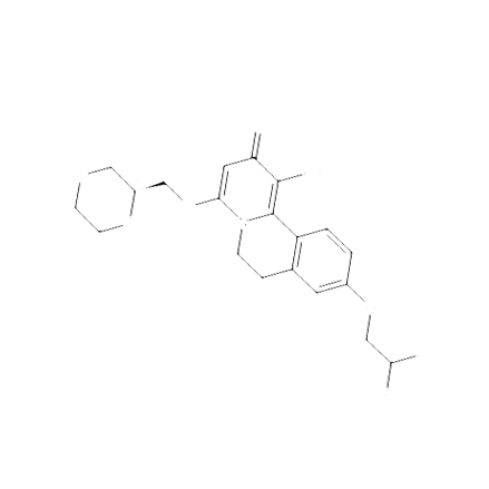 Cc1c2n(c(OC[C@@H]3COCCO3)cc1=O)CCc1cc(OCC(F)F)ccc1-2